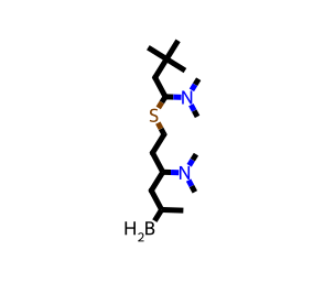 BC(C)CC(CCSC(CC(C)(C)C)N(C)C)N(C)C